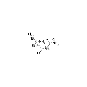 CC[S+](N)CC.CC[S+](N)CC.CC[S+](N)CC.[Cl-].[Cl-].[Cl-]